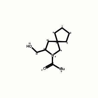 CC(C)(C)C(=O)N1CC2(CCCC2)CC1CO